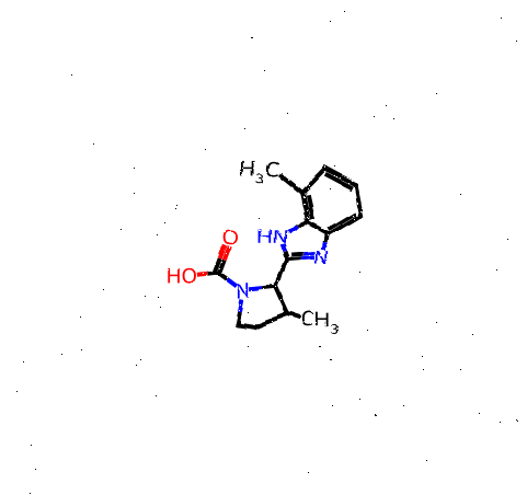 Cc1cccc2nc(C3C(C)CCN3C(=O)O)[nH]c12